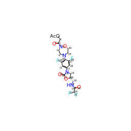 CC(=O)OCC(=O)N1CCN(c2c(F)cc(N3C[C@H](CNC(=O)C(F)F)OC3=O)cc2F)CCO1